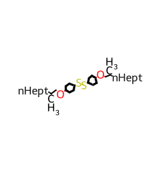 CCCCCCCC(C)COc1ccc(SSc2ccc(OCC(C)CCCCCCC)cc2)cc1